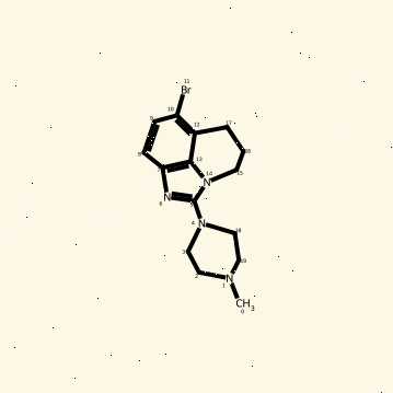 CN1CCN(c2nc3ccc(Br)c4c3n2CCC4)CC1